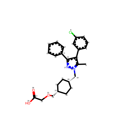 Cc1c(-c2cccc(Cl)c2)c(-c2ccccc2)nn1C[C@H]1CC[C@@H](COCC(=O)O)CC1